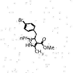 CCCN1NC(C)=C(C(=O)OC)C1Cc1ccc(Br)cc1